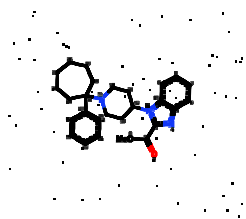 COC(=O)c1nc2ccccc2n1C1CCN(C2(c3ccccc3)CCCCCC2)CC1